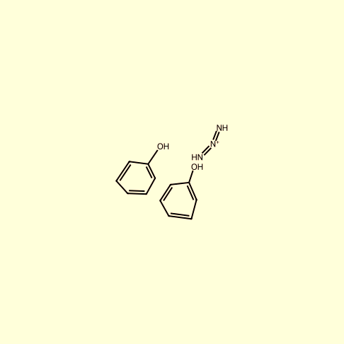 N=[N+]=N.Oc1ccccc1.Oc1ccccc1